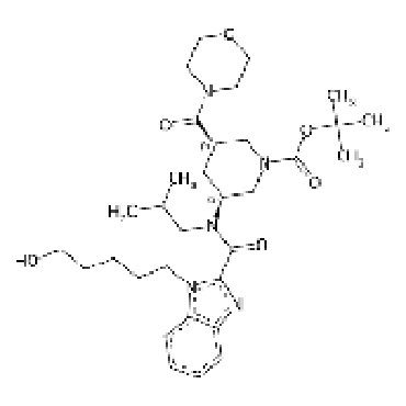 CC(C)CN(C(=O)c1nc2ccccc2n1CCCCCO)[C@H]1C[C@@H](C(=O)N2CCOCC2)CN(C(=O)OC(C)(C)C)C1